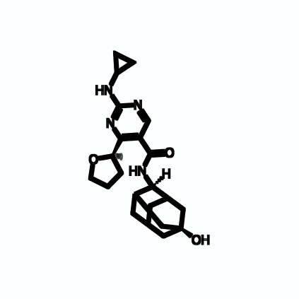 O=C(N[C@H]1C2CC3CC1C[C@@](O)(C3)C2)c1cnc(NC2CC2)nc1[C@H]1CCCO1